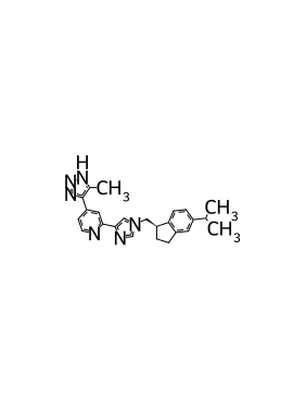 Cc1[nH]nnc1-c1ccnc(-c2cn(C[C@@H]3CCc4cc(C(C)C)ccc43)cn2)c1